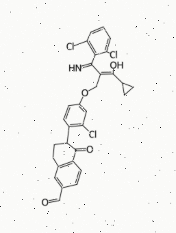 N=C(/C(COc1ccc(C2CCc3cc(C=O)ccc3C2=O)c(Cl)c1)=C(\O)C1CC1)c1c(Cl)cccc1Cl